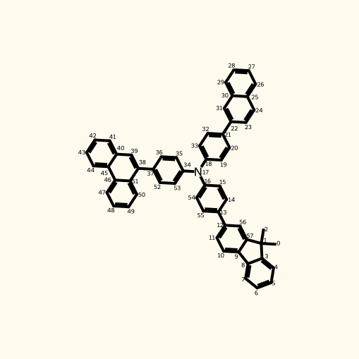 CC1(C)c2ccccc2-c2ccc(-c3ccc(N(c4ccc(-c5ccc6ccccc6c5)cc4)c4ccc(-c5cc6ccccc6c6ccccc56)cc4)cc3)cc21